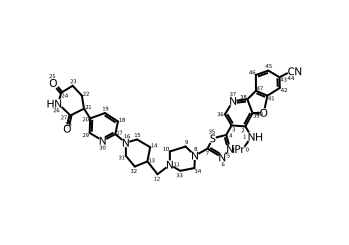 CC(C)Nc1c(-c2nnc(N3CCN(CC4CCN(c5ccc(C6CCC(=O)NC6=O)cn5)CC4)CC3)s2)cnc2c1oc1cc(C#N)ccc12